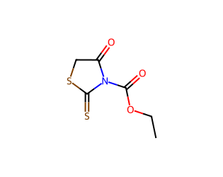 CCOC(=O)N1C(=O)CSC1=S